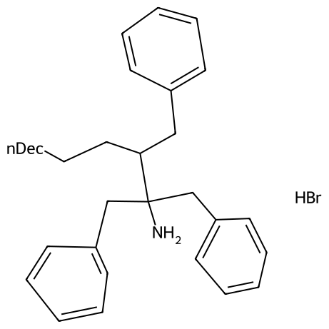 Br.CCCCCCCCCCCCC(Cc1ccccc1)C(N)(Cc1ccccc1)Cc1ccccc1